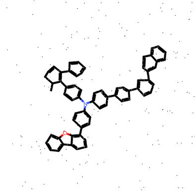 CC1CC=CC(c2ccccc2)=C1c1ccc(N(c2ccc(-c3ccc(-c4cccc(-c5ccc6ccccc6c5)c4)cc3)cc2)c2ccc(-c3cccc4c3oc3ccccc34)cc2)cc1